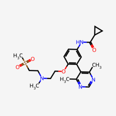 Cc1ncnc(C)c1-c1cc(NC(=O)C2CC2)ccc1OCCN(C)CCS(C)(=O)=O